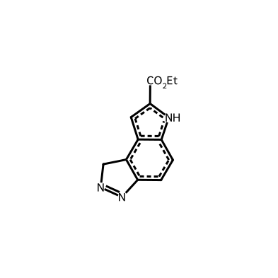 CCOC(=O)c1cc2c3c(ccc2[nH]1)N=NC3